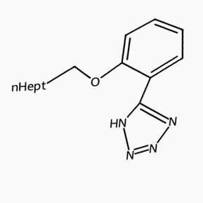 CCCCCCCCOc1ccccc1-c1nnn[nH]1